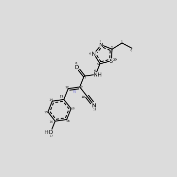 CCc1nnc(NC(=O)/C(C#N)=C/c2ccc(O)cc2)s1